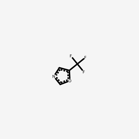 FC(F)(F)c1[c]nco1